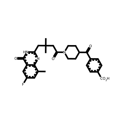 Cc1cc(F)cc2c(=O)[nH]c(CC(C)(C)CC(=O)N3CCC(C(=O)c4ccc(C(=O)O)cc4)CC3)nc12